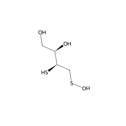 OC[C@@H](O)[C@H](S)CSO